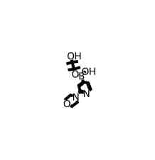 CC(C)(O)C(C)(C)OB(O)c1ccnc(N2CCOCC2)c1